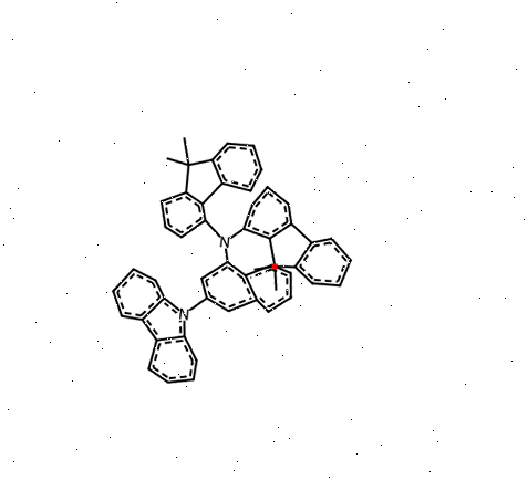 CC1(C)c2ccccc2-c2c(N(c3cccc4c3C(C)(C)c3ccccc3-4)c3cc(-n4c5ccccc5c5ccccc54)cc4ccccc34)cccc21